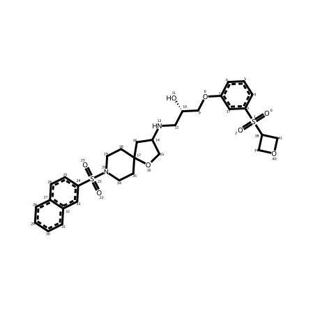 O=S(=O)(c1cccc(OC[C@@H](O)CNC2COC3(CCN(S(=O)(=O)c4ccc5ccccc5c4)CC3)C2)c1)C1COC1